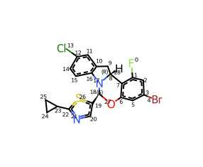 Fc1cc(Br)cc2c1[C@H]1Cc3cc(Cl)ccc3N1[C@H](c1cnc(C3CC3)s1)O2